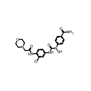 NC(=O)c1ccc(N(S)C(=O)Nc2ccc(NC(=O)CN3CCOCC3)c(Cl)c2)cc1